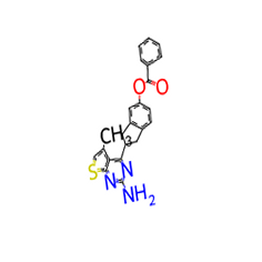 Cc1csc2nc(N)nc(C3Cc4ccc(OC(=O)c5ccccc5)cc4C3)c12